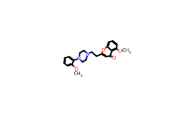 COc1ccccc1N1CCN(CCc2cc(=O)c3c(OC)cccc3o2)CC1